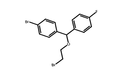 Fc1ccc(C(OCCBr)c2ccc(Br)cc2)cc1